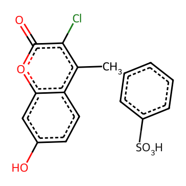 Cc1c(Cl)c(=O)oc2cc(O)ccc12.O=S(=O)(O)c1ccccc1